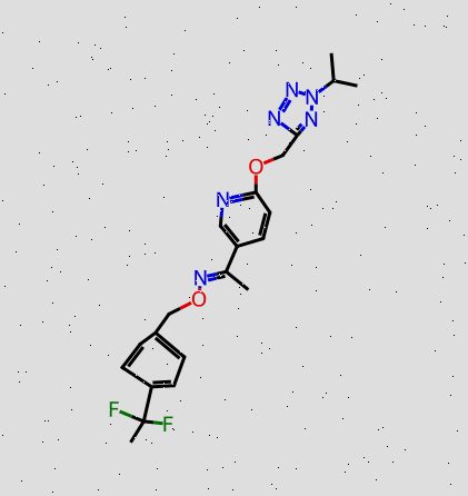 C/C(=N\OCc1ccc(C(C)(F)F)cc1)c1ccc(OCc2nnn(C(C)C)n2)nc1